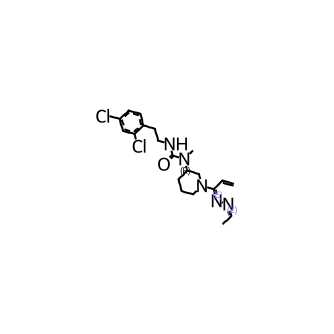 C=C/C(=N\N=C/C)N1CCC[C@@H](N(C)C(=O)NCCc2ccc(Cl)cc2Cl)C1